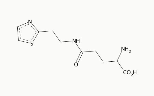 NC(CCC(=O)NCCc1nccs1)C(=O)O